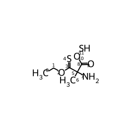 CCOC(=S)C(C)(N)C(=O)OS